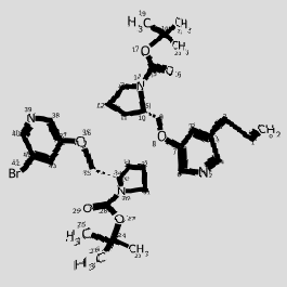 C=CCc1cncc(OC[C@@H]2CCCN2C(=O)OC(C)(C)C)c1.CC(C)(C)OC(=O)N1CCC[C@H]1COc1cncc(Br)c1